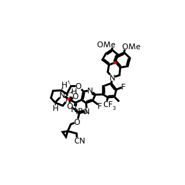 COc1ccc(CN(Cc2ccc(OC)cc2)c2cc(-c3nc4c5c(nc(OCC6(CC#N)CC6)nc5c3F)N3C[C@H]5CC[C@@H]([C@H]3[C@H](C)O4)N5C(=O)OC(C)(C)C)c(C(F)(F)F)c(C)c2F)cc1